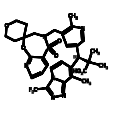 Cc1ncc([C@H](c2ccn3c(C(F)(F)F)nnc3c2C)C(C)(C)C(=O)O)cc1CN1CC2(CCOCC2)Oc2ncccc2S1(=O)=O